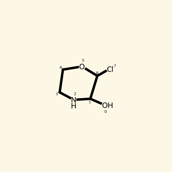 OC1NCCOC1Cl